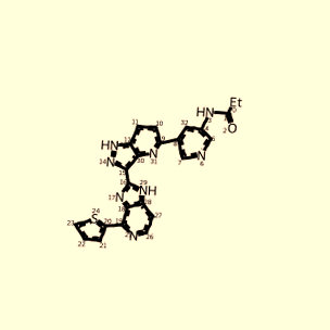 CCC(=O)Nc1cncc(-c2ccc3[nH]nc(-c4nc5c(-c6cccs6)nccc5[nH]4)c3n2)c1